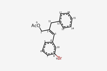 CC(=O)OC/C(=C\c1cccc(Br)c1)Cc1ccccc1